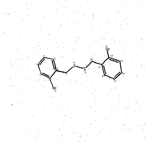 Brc1ccccc1CSSCc1ccccc1Br